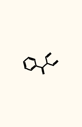 C=CC(C=C)C(=C)c1ccccc1